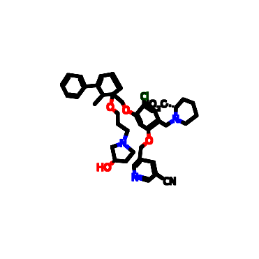 CC1C(c2ccccc2)=CC=CC1(COc1cc(OCc2cncc(C#N)c2)c(CN2CCCC[C@H]2C(=O)O)cc1Cl)OCCCN1CC[C@@H](O)C1